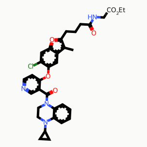 CCOC(=O)CNC(=O)CCCc1oc2cc(Cl)c(Oc3ccncc3C(=O)N3CCN(C4CC4)c4ccccc43)cc2c1C